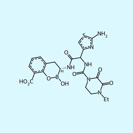 CCN1CCN(C(=O)NC(C(=O)N[C@H]2Cc3cccc(C(=O)O)c3OB2O)c2csc(N)n2)C(=O)C1=O